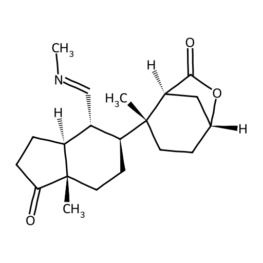 C/N=C/[C@@H]1[C@@H]([C@@]2(C)CC[C@@H]3C[C@@H]2C(=O)O3)CC[C@]2(C)C(=O)CC[C@@H]12